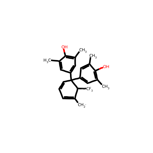 [CH2]C1=CC=CC(c2cc(C)c(O)c(C)c2)(c2cc(C)c(O)c(C)c2)C1C(F)(F)F